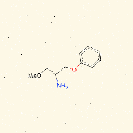 COCC(N)COc1ccccc1